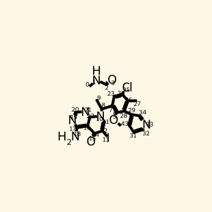 CNC=O.COc1c(C(C)n2cc(I)c(=O)c3c(N)ncnc32)cc(Cl)c(C)c1-c1cccnc1